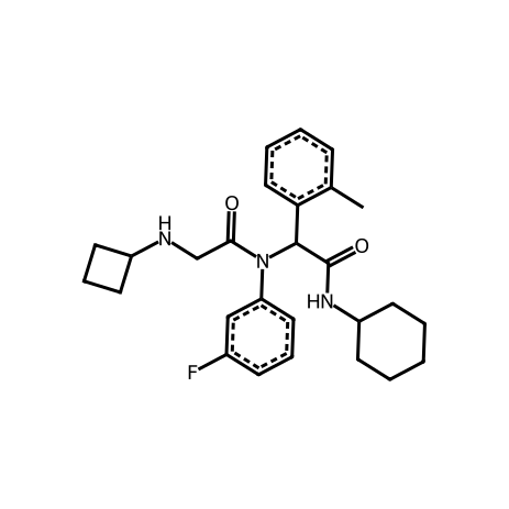 Cc1ccccc1C(C(=O)NC1CCCCC1)N(C(=O)CNC1CCC1)c1cccc(F)c1